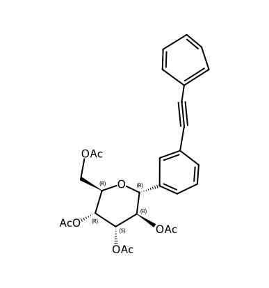 CC(=O)OC[C@H]1O[C@H](c2cccc(C#Cc3ccccc3)c2)[C@@H](OC(C)=O)[C@H](OC(C)=O)[C@@H]1OC(C)=O